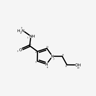 NNC(=O)c1cnn(CCO)c1